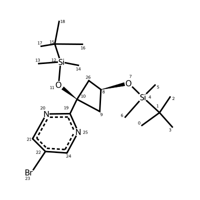 CC(C)(C)[Si](C)(C)O[C@H]1C[C@](O[Si](C)(C)C(C)(C)C)(c2ncc(Br)cn2)C1